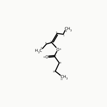 CCC=C(CC)OC(=O)CCC